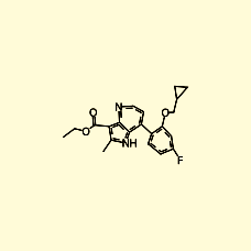 CCOC(=O)c1c(C)[nH]c2c(-c3ccc(F)cc3OCC3CC3)ccnc12